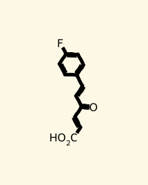 O=C(O)/C=C/C(=O)/C=C/c1ccc(F)cc1